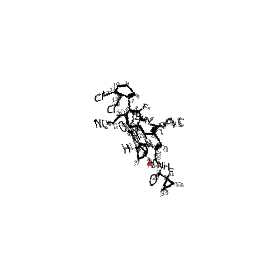 CC(=O)c1nc2c(F)c(-c3cccc(Cl)c3Cl)c(CCC#N)cc2c2c1cc([C@@H](C)NC(=O)C1(F)CC1)n2[C@H]1[C@@H]2C[C@H]1N(C(=O)OC(C)(C)C)C2